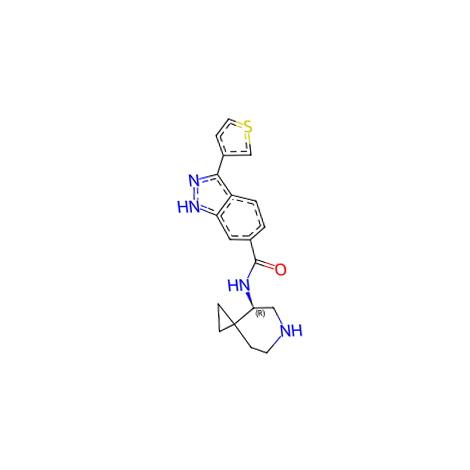 O=C(N[C@H]1CNCCC12CC2)c1ccc2c(-c3ccsc3)n[nH]c2c1